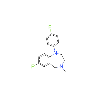 CN1CCN(c2ccc(F)cc2)c2ccc(F)cc2C1